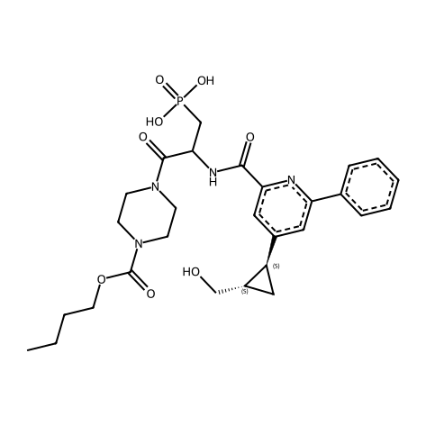 CCCCOC(=O)N1CCN(C(=O)C(CP(=O)(O)O)NC(=O)c2cc([C@H]3C[C@@H]3CO)cc(-c3ccccc3)n2)CC1